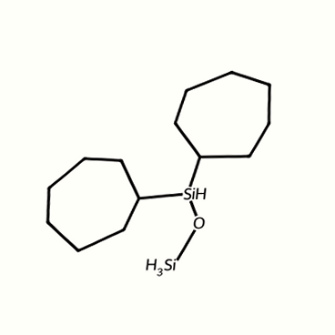 [SiH3]O[SiH](C1CCCCCC1)C1CCCCCC1